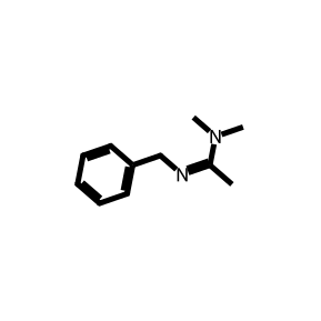 CC(=NCc1ccccc1)N(C)C